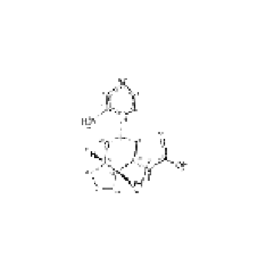 Nc1cnccc1[C@@H]1C[C@H](NC(=O)O)[C@]2(O)CCC[C@@H]2O1